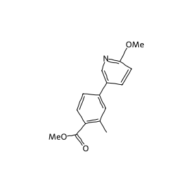 COC(=O)c1ccc(-c2ccc(OC)nc2)cc1C